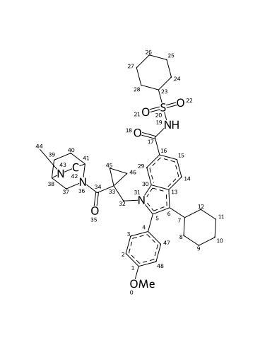 COc1ccc(-c2c(C3CCCCC3)c3ccc(C(=O)NS(=O)(=O)C4CCCCC4)cc3n2CC2(C(=O)N3CC4CCC3CN4C)CC2)cc1